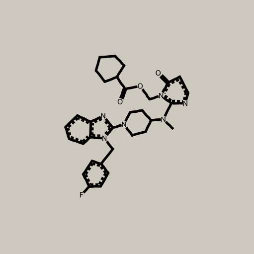 CN(c1nccc(=O)n1COC(=O)C1CCCCC1)C1CCN(c2nc3ccccc3n2Cc2ccc(F)cc2)CC1